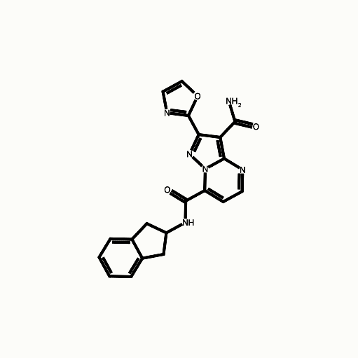 NC(=O)c1c(-c2ncco2)nn2c(C(=O)NC3Cc4ccccc4C3)ccnc12